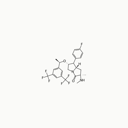 CN[C@]1(C)C[C@H]2C(c3ccc(F)cc3)[C@@H](O[C@H](C)c3cc(C(F)(F)F)cc(C(F)(F)F)c3)CN2C1=O